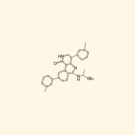 Cc1cccc(-c2ccc3c(NC(C)C(C)(C)C)nc4c(-c5cccc(C)c5)c[nH]c(=O)c4c3c2)c1